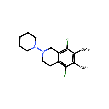 COc1c(Cl)c2c(c(Cl)c1OC)CN(N1C[CH]CCC1)CC2